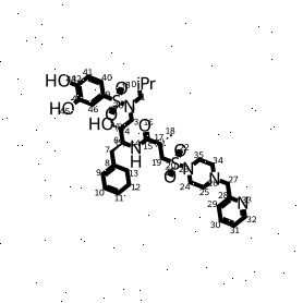 CC(C)CN(C[C@@H](O)[C@H](CC1=CC=CCC1)NC(=O)[C@H](C)CS(=O)(=O)N1CCN(Cc2ccccn2)CC1)S(=O)(=O)c1ccc(O)c(O)c1